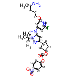 C[C@H](N)CCCOc1cc(Nc2cc([C@H]3CC[C@@H](OC(=O)Oc4ccc([N+](=O)[O-])cc4)C3)nn2C(C)(C)C)cc(F)n1